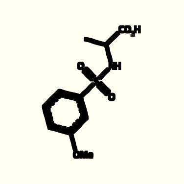 COc1cccc(S(=O)(=O)NC(C)C(=O)O)c1